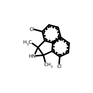 CC1(c2ccccc2Cl)NC1(C)c1ccccc1Cl